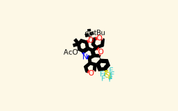 CC(=O)O[C@H]1c2nc(C3CCOCC3)c3c(c2C(O[Si](C)(C)C(C)(C)C)CC1(C)C)C1(CCOCC1)O[C@@H]3c1ccc(S(F)(F)(F)(F)F)cc1